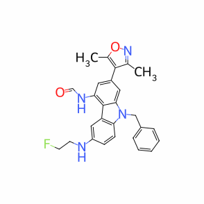 Cc1noc(C)c1-c1cc(NC=O)c2c3cc(NCCF)ccc3n(Cc3ccccc3)c2c1